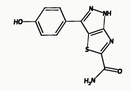 NC(=O)c1nc2[nH]nc(-c3ccc(O)cc3)c2s1